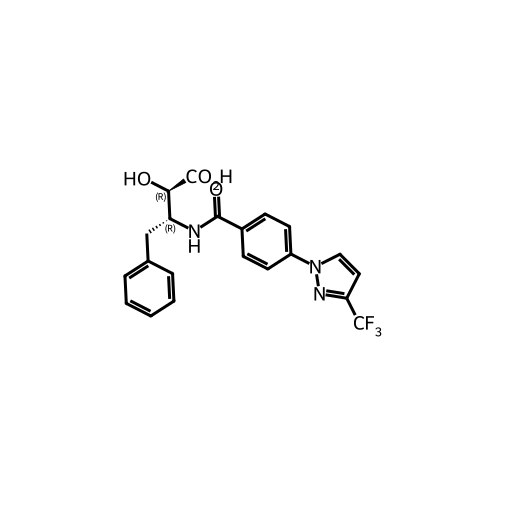 O=C(N[C@H](Cc1ccccc1)[C@@H](O)C(=O)O)c1ccc(-n2ccc(C(F)(F)F)n2)cc1